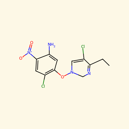 CCC1=NCN(Oc2cc(N)c([N+](=O)[O-])cc2Cl)C=C1Cl